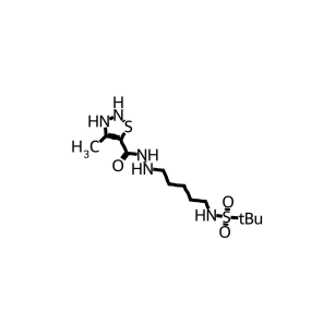 CC1=C(C(=O)NNCCCCCNS(=O)(=O)C(C)(C)C)SNN1